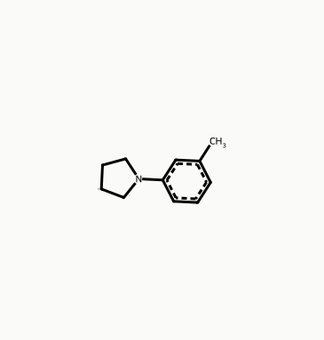 Cc1cccc(N2C[CH]CC2)c1